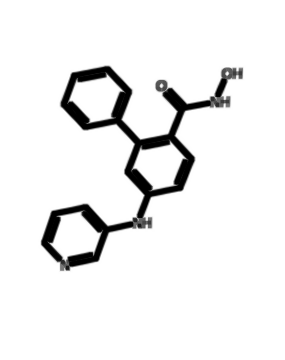 O=C(NO)c1ccc(Nc2cccnc2)cc1-c1ccccc1